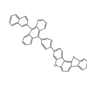 c1ccc2cc(-c3c4ccccc4c(-c4ccc(-c5ccc6c(c5)oc5ccc7c8ccccc8sc7c56)cc4)c4ccccc34)ccc2c1